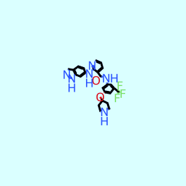 O=C(Nc1cc(OC2CCNCC2)cc(C(F)(F)F)c1)c1cccnc1Nc1ccc2cn[nH]c2c1